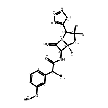 CCCCOc1cccc(C(N)C(=O)NC2C(=O)N3C(c4nnn[nH]4)C(C)(C)S[C@@H]23)c1